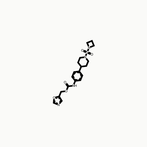 O=C(Nc1ccc(C2CCN(S(=O)(=O)N3CCC3)CC2)cc1)OCc1cnco1